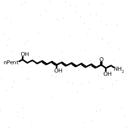 CCCCCC(O)CCCC=CC=C(O)C=CC=CC=CC=CC(=O)C(O)CN